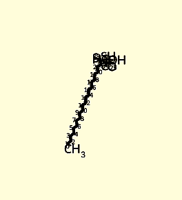 CCCCCCCCCCCCCCCCCCCCCCC(OP(=O)(O)O)C(=S)S